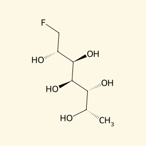 C[C@H](O)[C@@H](O)[C@@H](O)[C@H](O)[C@H](O)CF